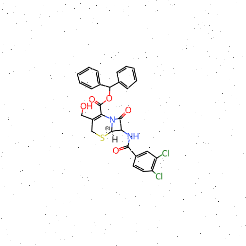 O=C(OC(c1ccccc1)c1ccccc1)C1=C(CO)CS[C@@H]2C(NC(=O)c3ccc(Cl)c(Cl)c3)C(=O)N12